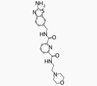 Nc1nc2ccc(CNC(=O)c3cccc(C(=O)NCCN4CCOCC4)n3)cc2s1